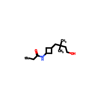 CC(C)(C)CC(=O)NC1CC(CC(C)(C)CCO)C1